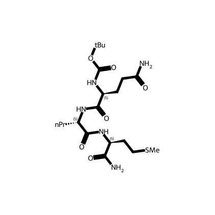 CCC[C@H](NC(=O)[C@H](CCC(N)=O)NC(=O)OC(C)(C)C)C(=O)N[C@@H](CCSC)C(N)=O